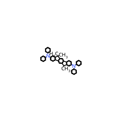 CC1c2cc(N(c3ccccc3)c3ccccc3)ccc2-c2cc3c(cc21)-c1ccc(N(c2ccccc2)c2ccccc2)cc1C3(C)C